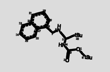 CC(C)(C)OC(=O)NC(NCc1cccc2ccccc12)C(C)(C)C